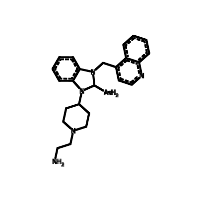 NCCN1CCC(N2c3ccccc3N(Cc3ccnc4ccccc34)C2[AsH2])CC1